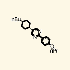 CCCC[C@H]1CC[C@H](c2cnc(-c3ccc(OCCC)cc3)nc2)CC1